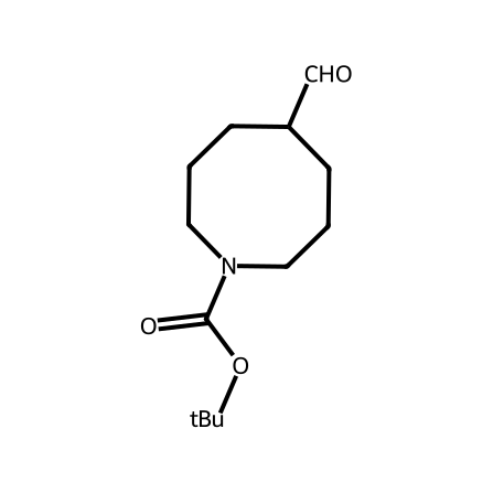 CC(C)(C)OC(=O)N1CCCC(C=O)CCC1